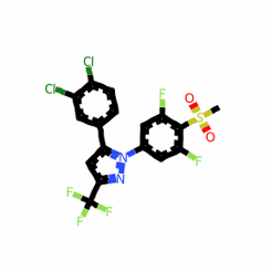 CS(=O)(=O)c1c(F)cc(-n2nc(C(F)(F)F)cc2-c2ccc(Cl)c(Cl)c2)cc1F